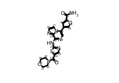 NC(=O)c1cc(-c2cnc(Nc3ncc(C(=O)N4CCOCC4)s3)c3nccn23)co1